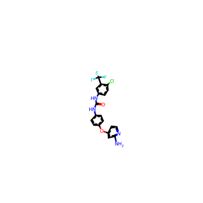 Nc1cc(Oc2ccc(NC(=O)Nc3ccc(Cl)c(C(F)(F)F)c3)cc2)ccn1